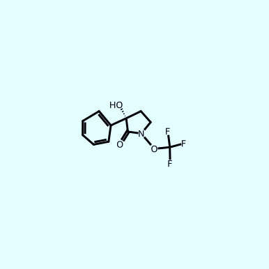 O=C1N(OC(F)(F)F)CC[C@]1(O)c1ccccc1